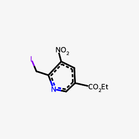 CCOC(=O)c1cnc(CI)c([N+](=O)[O-])c1